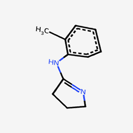 Cc1ccccc1NC1=NCCC1